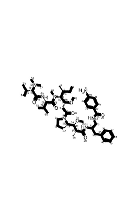 CC[C@H](C)[C@@H]([C@@H](CC(=O)N1CCC[C@H]1[C@H](OC)[C@@H](C)C(=O)NC(CNC(=O)c1ccc(N)cc1)Cc1ccccc1)OC)N(C)C(=O)[C@@H](NC(=O)[C@H](C(C)C)N(C)C)C(C)C